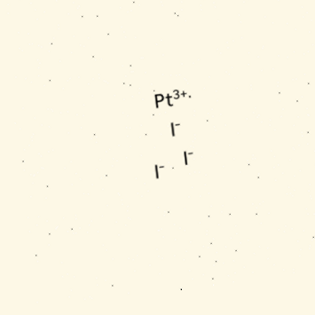 [I-].[I-].[I-].[Pt+3]